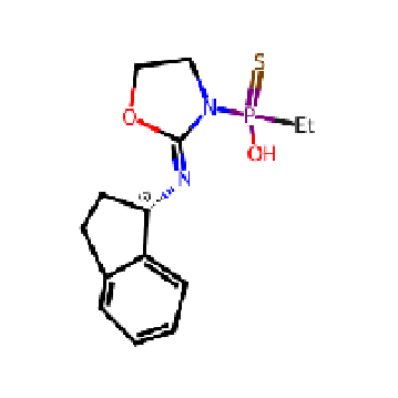 CCP(O)(=S)N1CCOC1=N[C@H]1CCc2ccccc21